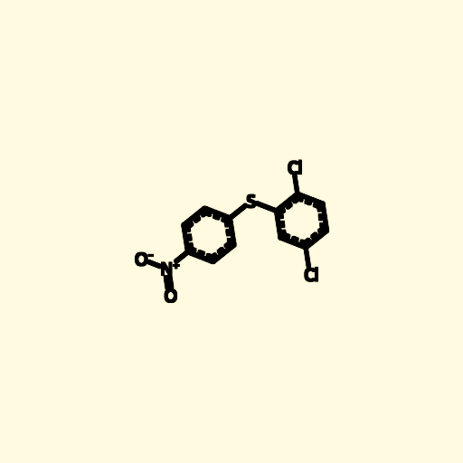 O=[N+]([O-])c1ccc(Sc2cc(Cl)ccc2Cl)cc1